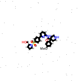 COc1ccc(C2(C(=O)Nc3cccc(-c4ccc(S(=O)(=O)N5CCC[C@@H]5CO)cc4)n3)CCNCC2)cc1